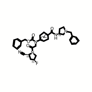 N#C[C@@H]1C[C@H](F)CN1C(=O)CN(C(=O)OCc1ccccc1)C12CCC(C(=O)N[C@H]3CCN(Cc4ccccc4)C3)(CC1)CC2